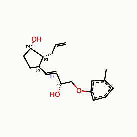 C=CC[C@H]1[C@@H](O)CC[C@@H]1/C=C/[C@@H](O)COc1cccc(C)c1